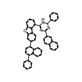 c1ccc(-c2ccc(-c3ccc4c(c3)oc3cccc(C5=NC(c6ccc7ccccc7c6)=NC(c6ccccc6)N5)c34)c3ccccc23)cc1